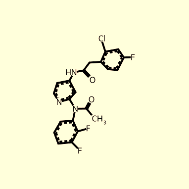 CC(=O)N(c1cc(NC(=O)Cc2ccc(F)cc2Cl)ccn1)c1cccc(F)c1F